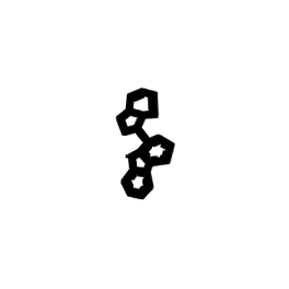 [CH]1c2ccccc2-c2cccc(C3CCC4C=CC=CC43)c21